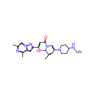 CCCNC1CCN(C2=CN3C(=O)C=C(c4cc5c(C)nc(C)cn5n4)PC3C(C)=C2)CC1